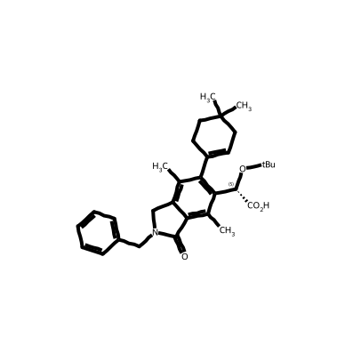 Cc1c2c(c(C)c([C@H](OC(C)(C)C)C(=O)O)c1C1=CCC(C)(C)CC1)C(=O)N(Cc1ccccc1)C2